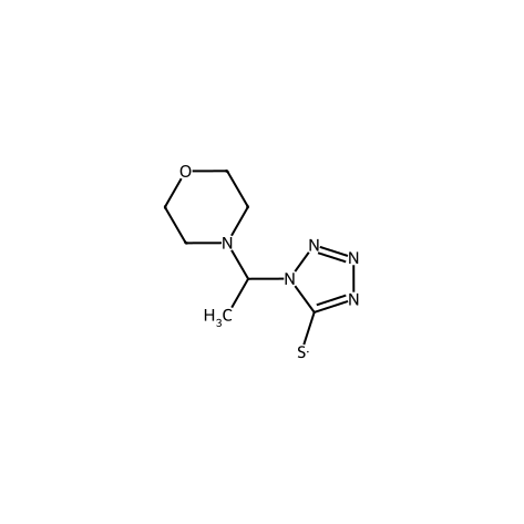 CC(N1CCOCC1)n1nnnc1[S]